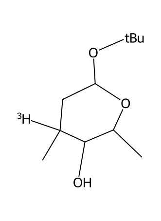 [3H]C1(C)CC(OC(C)(C)C)OC(C)C1O